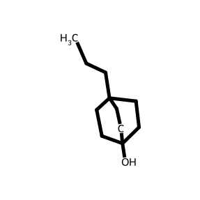 CCCC12CCC(O)(CC1)CC2